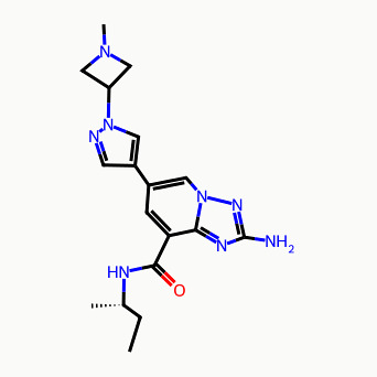 CC[C@H](C)NC(=O)c1cc(-c2cnn(C3CN(C)C3)c2)cn2nc(N)nc12